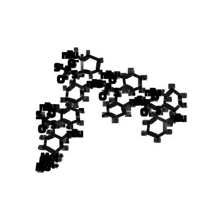 CCCCc1ccccc1S(c1ccccc1CCCC)=P([O-])([O-])[S-].CCCCc1ccccc1S(c1ccccc1CCCC)=P([O-])([O-])[S-].CCCCc1ccccc1S(c1ccccc1CCCC)=P([O-])([O-])[S-].CCCCc1ccccc1S(c1ccccc1CCCC)=P([O-])([O-])[S-].[Mo+4].[Mo+4].[Mo+4]